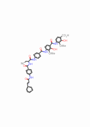 COc1c(NC(=O)c2ccc(NC(=O)c3ccc(NC(=O)C(CC#N)NC(=O)c4ccc(NC(=O)/C=C/c5ccccc5)cc4)cc3)c(OC)c2O)ccc(C(=O)O)c1O